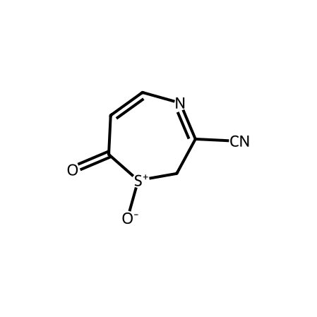 N#CC1=NC=CC(=O)[S+]([O-])C1